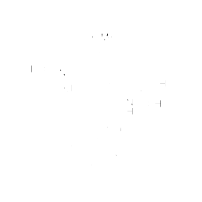 COc1cc2c(cc1CN(C)C)C(=CC(=O)C13CC4CC(CC(C4)C1)C3)NC(C)(C)C2